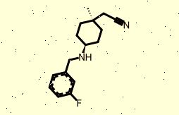 C[C@]1(CC#N)CC[C@@H](NCc2cccc(F)c2)CC1